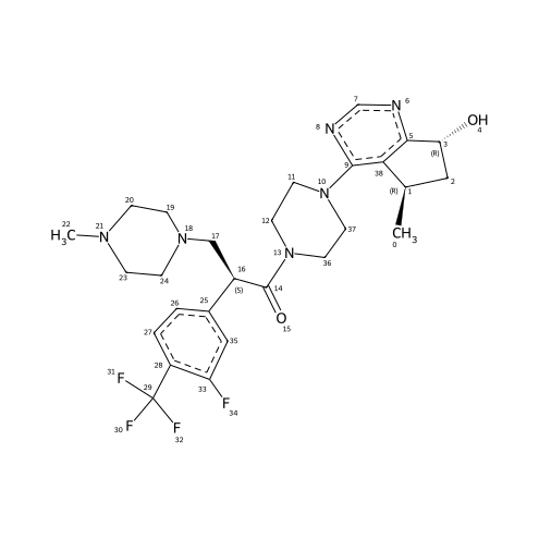 C[C@@H]1C[C@@H](O)c2ncnc(N3CCN(C(=O)[C@H](CN4CCN(C)CC4)c4ccc(C(F)(F)F)c(F)c4)CC3)c21